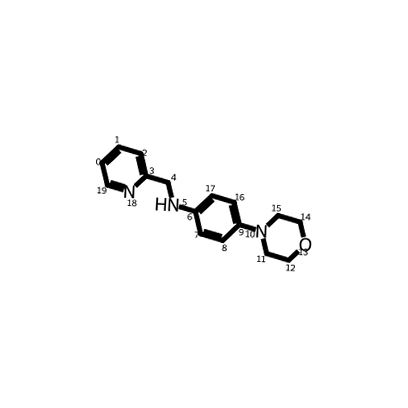 c1ccc(CNc2ccc(N3CCOCC3)cc2)nc1